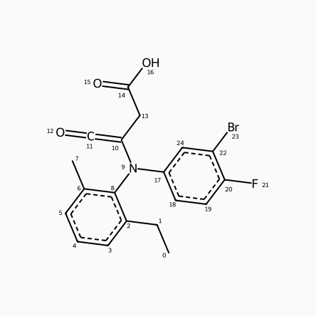 CCc1cccc(C)c1N(C(=C=O)CC(=O)O)c1ccc(F)c(Br)c1